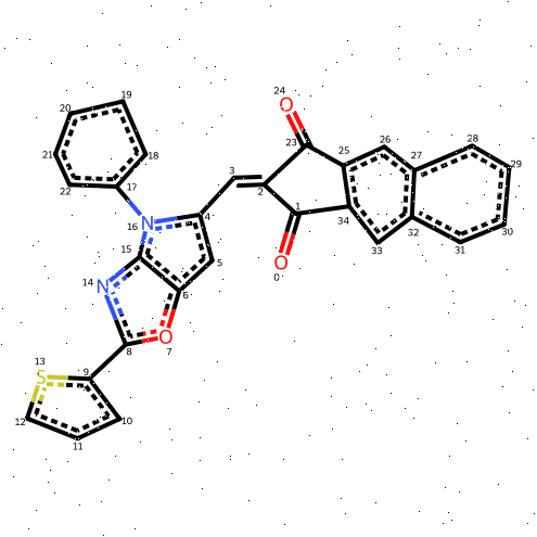 O=C1C(=Cc2cc3oc(-c4cccs4)nc3n2-c2ccccc2)C(=O)c2cc3ccccc3cc21